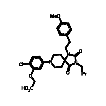 COc1ccc(CCN2C(=O)N(CC(C)C)C(=O)C23CCN(c2ccc(Cl)c(OCC(=O)O)c2)CC3)cc1